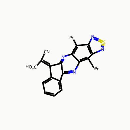 CC(C)c1c2c(c(C(C)C)c3nc4c(nc13)/C(=C(\C#N)C(=O)O)c1ccccc1-4)N=S=N2